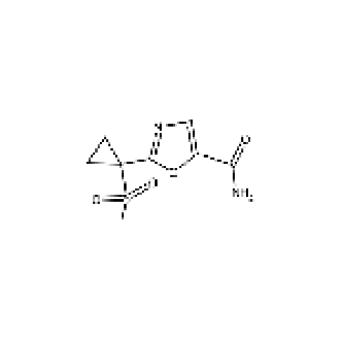 CS(=O)(=O)C1(c2ncc(C(N)=O)o2)CC1